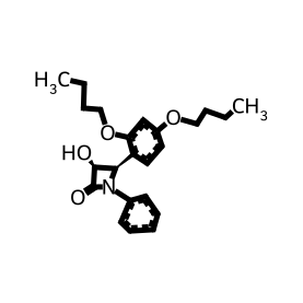 CCCCOc1ccc([C@@H]2[C@H](O)C(=O)N2c2ccccc2)c(OCCCC)c1